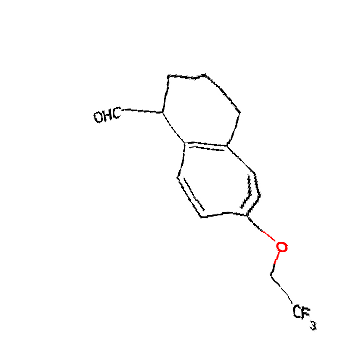 O=CC1CCCc2cc(OCC(F)(F)F)ccc21